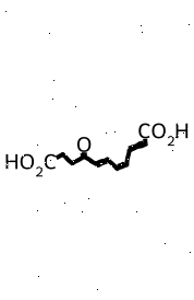 O=C(O)/C=C/C=C\C=C\C(=O)CCC(=O)O